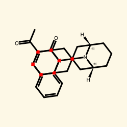 CC(=O)c1nc2ccccc2n(C2C[C@H]3CCC[C@@H](C2)N3C2CC3CCCC(C3)C2)c1=O